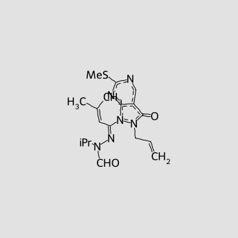 C=CCn1c(=O)c2cnc(SC)nc2n1/C(C=C(C)C)=N/N(C=O)C(C)C